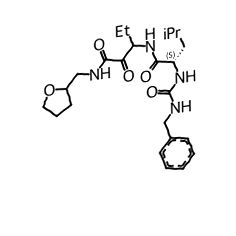 CCC(NC(=O)[C@H](CC(C)C)NC(=O)NCc1ccccc1)C(=O)C(=O)NCC1CCCO1